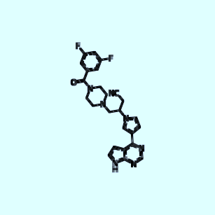 N#CCC(CN1CCN(C(=O)c2cc(F)cc(F)c2)CC1)n1ccc(-c2ncnc3[nH]ccc23)c1